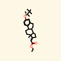 CCOC(=O)/C=C1\CCC2C3CCc4cc(O[Si](C)(C)C(C)(C)C)ccc4C3CCC12C